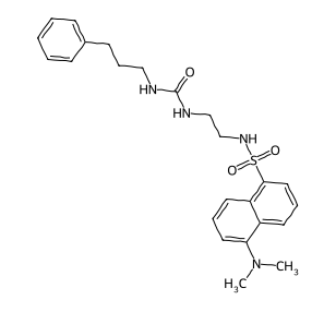 CN(C)c1cccc2c(S(=O)(=O)NCCNC(=O)NCCCc3ccccc3)cccc12